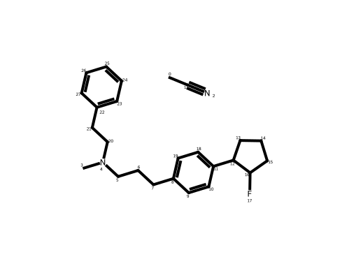 CC#N.CN(CCCc1ccc(C2CCCC2F)cc1)CCc1ccccc1